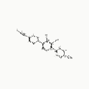 CC#Cc1ccc(-c2ccc(-c3ncc(CCC)cn3)c(F)c2F)cc1